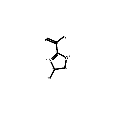 C=C(C)C1=NC(C)CO1